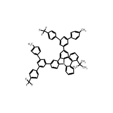 Cc1ccc(-c2cc(-c3ccc(C(F)(F)F)cc3)cc(-c3ccc4c(c3)c3cc(-c5cc(-c6ccc(C)cc6)cc(-c6ccc(C(F)(F)F)cc6)c5)ccc3n4-c3ccccc3-c3ccccc3C(C)(C)C)c2)cc1